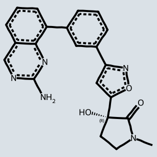 CN1CC[C@@](O)(c2cc(-c3cccc(-c4cccc5cnc(N)nc45)c3)no2)C1=O